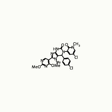 COc1ncc(-c2nc3c(n2C(C)C)C(c2ccc(Cl)cc2)N(c2cc(Cl)cn(C)c2=O)C(=O)N3)c(OC)n1